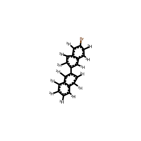 [2H]c1c([2H])c([2H])c2c([2H])c(-c3c([2H])c([2H])c4c([2H])c(Br)c([2H])c([2H])c4c3[2H])c([2H])c([2H])c2c1[2H]